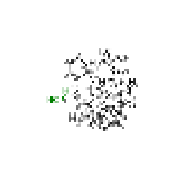 Cl.Cl.[CH2]=[Zr]([CH3])([C]1=CC(C(C)(C)C)=CC1C)([c]1ccccc1)[C]1(C)C2=C3Cc4ccccc4C3CCC2(C)C(C)(C)C(C)(C)C1(C)C